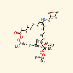 CCC(CC)OOC(=O)CCCCCCCC(CCCCCCC(OC(CC)CC)(OC(CC)CC)C(=O)OOC(CC)CC)NCC1CCOC1